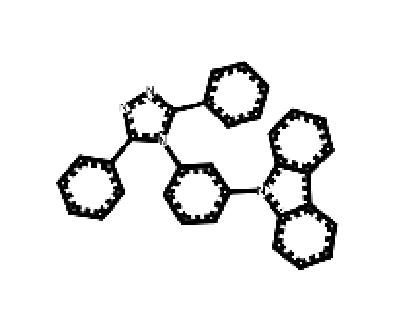 c1ccc(-c2nnc(-c3ccccc3)n2-c2cccc(-n3c4ccccc4c4ccccc43)c2)cc1